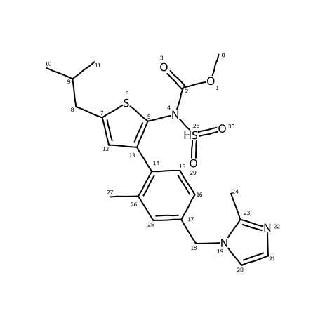 COC(=O)N(c1sc(CC(C)C)cc1-c1ccc(Cn2ccnc2C)cc1C)[SH](=O)=O